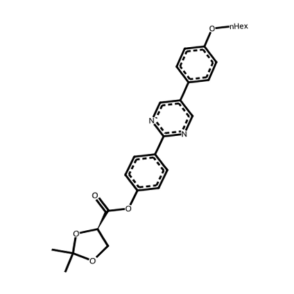 CCCCCCOc1ccc(-c2cnc(-c3ccc(OC(=O)[C@H]4COC(C)(C)O4)cc3)nc2)cc1